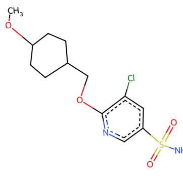 COC1CCC(COc2ncc(S(N)(=O)=O)cc2Cl)CC1